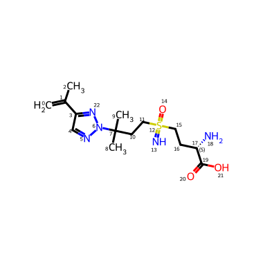 C=C(C)c1cnn(C(C)(C)CCS(=N)(=O)CC[C@H](N)C(=O)O)n1